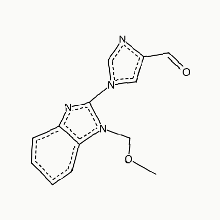 COCn1c(-n2cnc(C=O)c2)nc2ccccc21